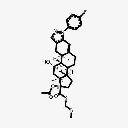 CSCSC(=O)[C@@]1(OC(C)=O)CC[C@H]2[C@@H]3CCC4=Cc5c(cnn5-c5ccc(F)cc5)C[C@]4(C)[C@H]3[C@@H](O)C[C@@]21C